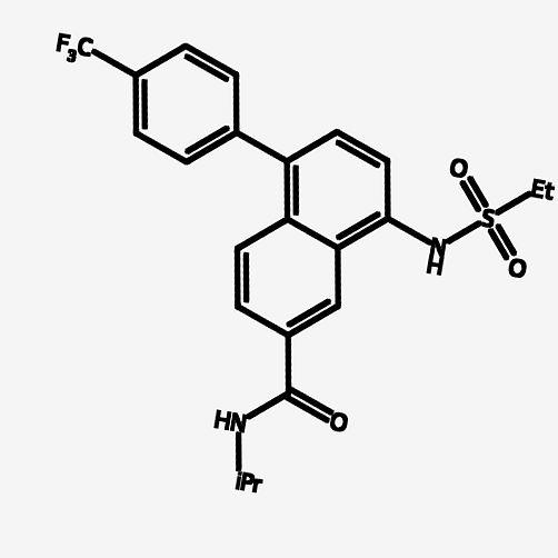 CCS(=O)(=O)Nc1ccc(-c2ccc(C(F)(F)F)cc2)c2ccc(C(=O)NC(C)C)cc12